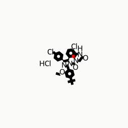 CCOc1cc(C(C)(C)C)ccc1C1=N[C@@H](c2ccc(Cl)cc2)[C@@H](c2ccc(Cl)cc2)N1C(=O)N1CCNC(=O)C1.Cl